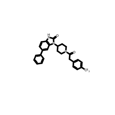 O=C(Cc1ccc(C(F)(F)F)cc1)N1CCC(n2c(=O)[nH]c3ccc(-c4ccccc4)cc32)CC1